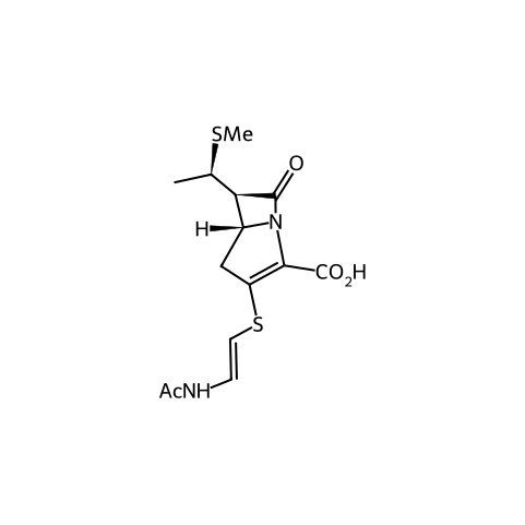 CS[C@H](C)[C@H]1C(=O)N2C(C(=O)O)=C(S/C=C/NC(C)=O)C[C@H]12